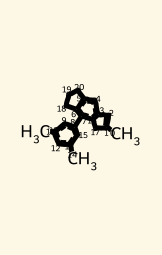 CC1=Cc2cc3c(c(-c4cc(C)cc(C)c4)c2C1)CCC3